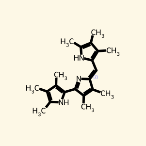 CC1=C(C)/C(=C/c2[nH]c(C)c(C)c2C)N=C1c1[nH]c(C)c(C)c1C